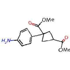 COC(=O)C1CC(C(=O)OC)(c2ccc(N)cc2)C1